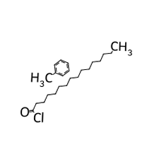 CCCCCCCCCCCCCCCC(=O)Cl.Cc1ccccc1